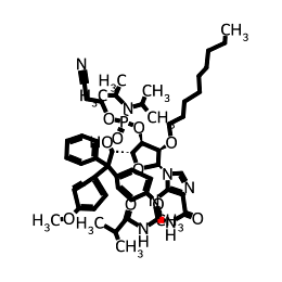 CCCCCCCCCO[C@@H]1[C@H](OP(=O)(OCCC#N)N(C(C)C)C(C)C)[C@@H](C(O)C(c2ccccc2)(c2ccc(OC)cc2)c2ccc(OC)cc2)O[C@H]1n1cnc2c(=O)[nH]c(NC(=O)C(C)C)nc21